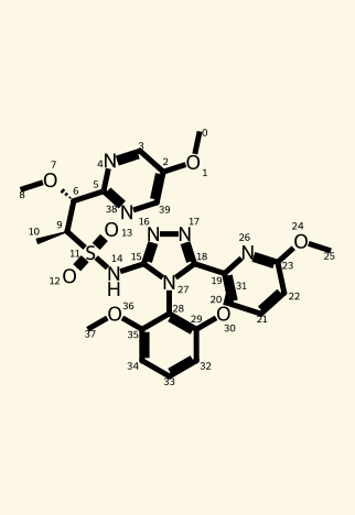 COc1cnc([C@@H](OC)[C@H](C)S(=O)(=O)Nc2nnc(-c3cccc(OC)n3)n2-c2c(OC)cccc2OC)nc1